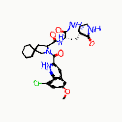 COc1cc(Cl)c2[nH]c(C(=O)N3CC4(CCCCC4)CC3C(=O)N[C@@H](C[C@@H]3CCNC3=O)C(N)=O)cc2c1